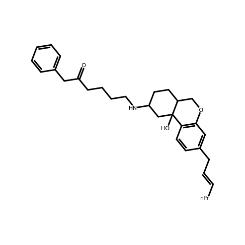 CCCC=CCc1ccc2c(c1)OCC1CCC(NCCCCC(=O)Cc3ccccc3)CC21O